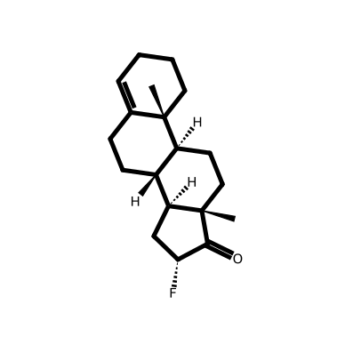 C[C@]12CCCC=C1CC[C@@H]1[C@@H]2CC[C@]2(C)C(=O)[C@H](F)C[C@@H]12